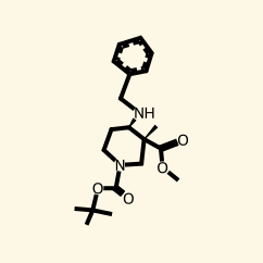 COC(=O)[C@]1(C)CN(C(=O)OC(C)(C)C)CC[C@H]1NCc1ccccc1